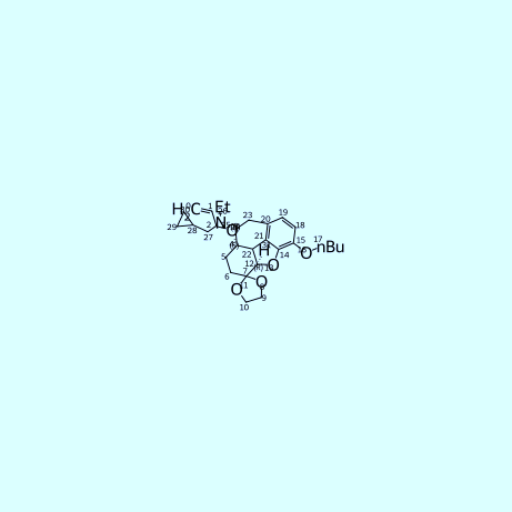 C=CCO[C@@]12CCC3(OCCO3)[C@@H]3Oc4c(OCCCC)ccc(c4C31)C[C@H]2N(CC)CC1CC1